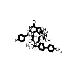 [2H]C([2H])(C)N(CCN(C(=O)C([2H])([2H])n1c(SCc2ccc(F)cc2)nc(=O)c2c1CCC2)C([2H])(C)c1ccc(-c2ccc(C(F)(F)F)cc2)cc1)C([2H])([2H])C